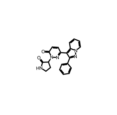 O=C1NCCC1n1nc(-c2c(-c3ccccc3)nn3ccccc23)ccc1=O